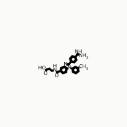 Cc1cccc(-n2c(-c3ccc(C(=N)N)cc3)nc3cc(C(=O)NCCC(=O)O)ccc32)c1